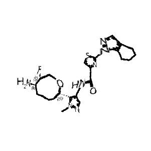 Cn1ncc(NC(=O)c2csc(-n3ncc4c3CCCC4)n2)c1[C@@H]1CC[C@@H](N)[C@H](F)CO1